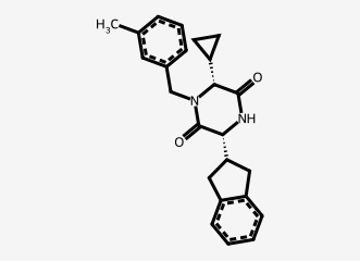 Cc1cccc(CN2C(=O)[C@@H](C3Cc4ccccc4C3)NC(=O)[C@H]2C2CC2)c1